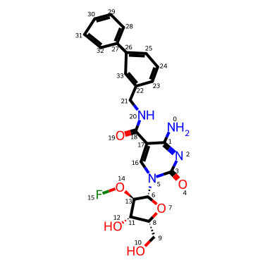 Nc1nc(=O)n([C@@H]2O[C@H](CO)[C@H](O)[C@H]2OF)cc1C(=O)NCc1cccc(-c2ccccc2)c1